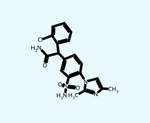 Cc1cn(-c2ccc(C(C(N)=O)c3ccccc3Cl)cc2S(N)(=O)=O)c(C)n1